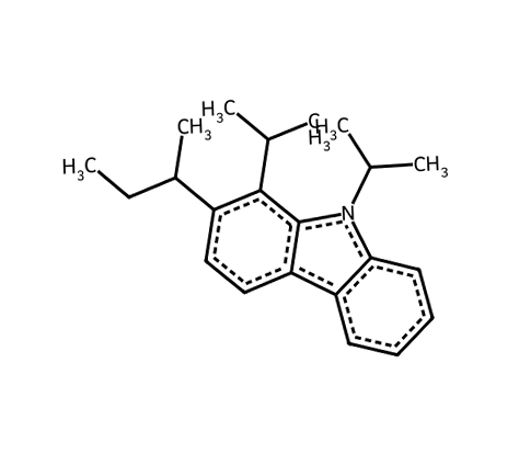 CCC(C)c1ccc2c3ccccc3n(C(C)C)c2c1C(C)C